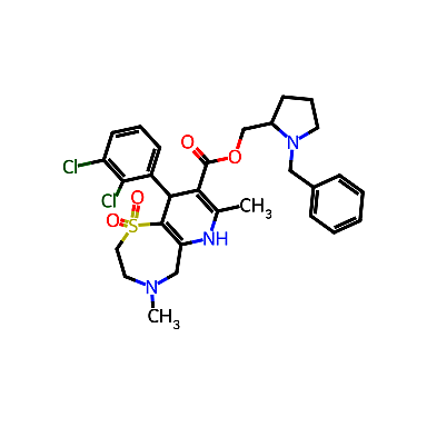 CC1=C(C(=O)OCC2CCCN2Cc2ccccc2)C(c2cccc(Cl)c2Cl)C2=C(CN(C)CCS2(=O)=O)N1